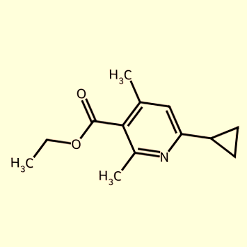 CCOC(=O)c1c(C)cc(C2CC2)nc1C